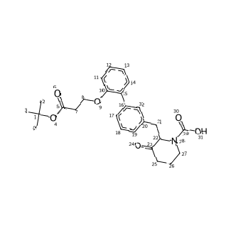 CC(C)(C)OC(=O)CCOc1ccccc1-c1cccc(CC2C(=O)CCCN2C(=O)O)c1